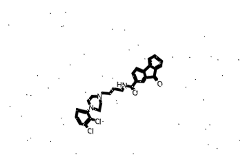 O=C(NCCCCN1CCN(c2cccc(Cl)c2Cl)CC1)c1ccc2c(c1)C(=O)c1ccccc1-2